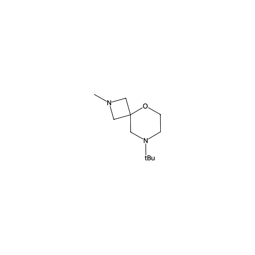 CN1CC2(C1)CN(C(C)(C)C)CCO2